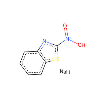 O=[N+](O)c1nc2ccccc2s1.[NaH]